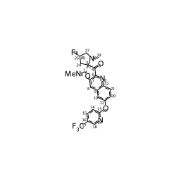 CNC(=O)[C@]1(C(=O)c2ccc3cc(Oc4ccc(C(F)(F)F)cn4)ccc3n2)C[C@@H](F)CN1C